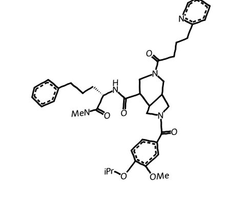 CNC(=O)[C@H](CCCc1ccccc1)NC(=O)C1CN(C(=O)CCCc2ccccn2)CC2CN(C(=O)c3ccc(OC(C)C)c(OC)c3)CC21